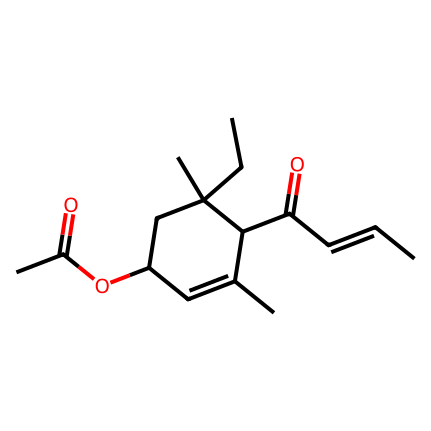 CC=CC(=O)C1C(C)=CC(OC(C)=O)CC1(C)CC